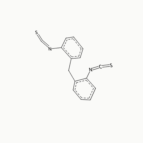 S=C=Nc1ccccc1Cc1ccccc1N=C=S